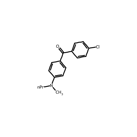 CCCN(C)c1ccc(C(=O)c2ccc(Cl)cc2)cc1